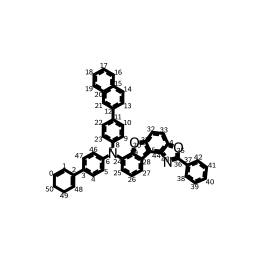 C1=CC(c2ccc(N(c3ccc(-c4ccc5ccccc5c4)cc3)c3cccc4c3oc3ccc5oc(-c6ccccc6)nc5c34)cc2)=CCC1